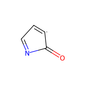 O=C1[C]=CC=N1